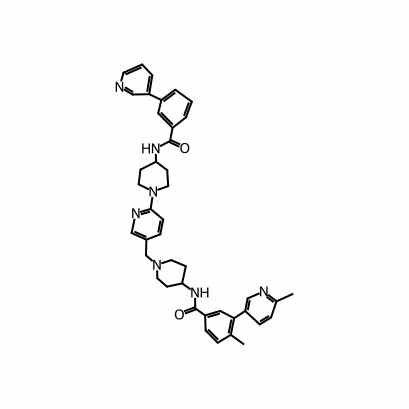 Cc1ccc(-c2cc(C(=O)NC3CCN(Cc4ccc(N5CCC(NC(=O)c6cccc(-c7cccnc7)c6)CC5)nc4)CC3)ccc2C)cn1